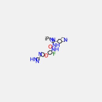 CC(C)n1cc(NC(=O)Nc2ccc(Oc3ccnc(-c4cn[nH]c4)c3)cc2F)c(-c2ccc3c(c2)CCN(C)C3)n1